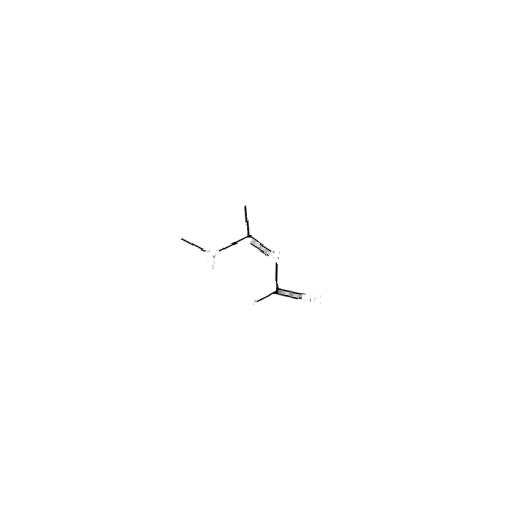 CN/C(C)=N\C(=N)I